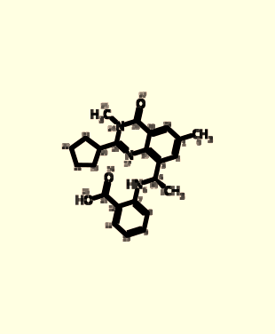 Cc1cc([C@@H](C)Nc2ccccc2C(=O)O)c2nc(C3CCCC3)n(C)c(=O)c2c1